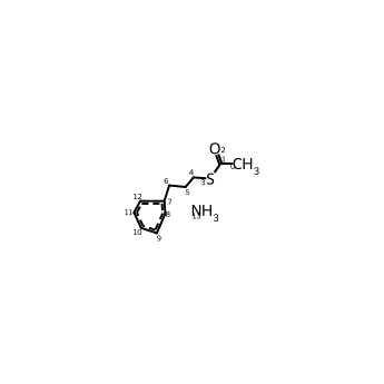 CC(=O)SCCCc1ccccc1.N